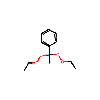 CCOOC(C)(OOCC)c1ccccc1